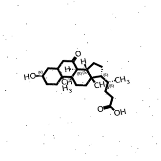 C[C@H](CCC(=O)O)[C@H]1CC[C@H]2[C@@H]3C(=O)CC4C[C@H](O)CCC4(C)[C@H]3CCC12C